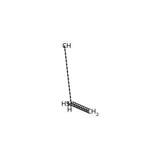 C#CC#CC#CC#CC#CC#CC#CC#CC#CC#CC#CC#CC#CC#CC#CC#CC(=C=C=C=C=C=C=C=C=C=C=C)NS